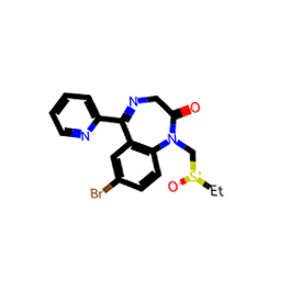 CC[S+]([O-])CN1C(=O)CN=C(c2ccccn2)c2cc(Br)ccc21